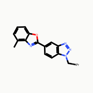 Cc1cccc2oc(-c3ccc4c(c3)nnn4CC(C)C)nc12